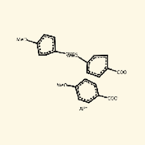 COc1ccc(C(=O)[O-])cc1.COc1ccc(C(=O)[O-])cc1.COc1ccc(C(=O)[O-])cc1.[Al+3]